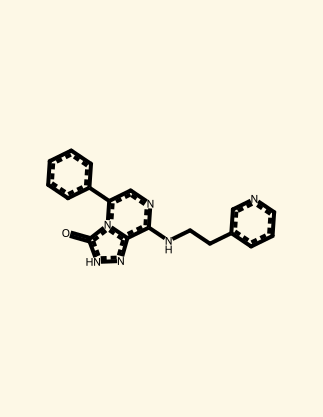 O=c1[nH]nc2c(NCCc3cccnc3)ncc(-c3ccccc3)n12